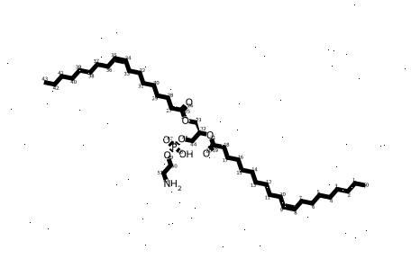 CCCCCCCC/C=C\CCCCCCCCCC(=O)O[C@H](COC(=O)CCCCCCC/C=C\CCCCCCCC)COP(=O)(O)OCCN